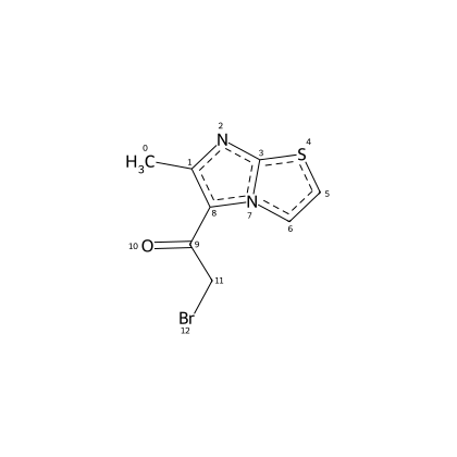 Cc1nc2sccn2c1C(=O)CBr